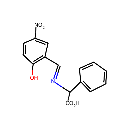 O=C(O)C(/N=C/c1cc([N+](=O)[O-])ccc1O)c1ccccc1